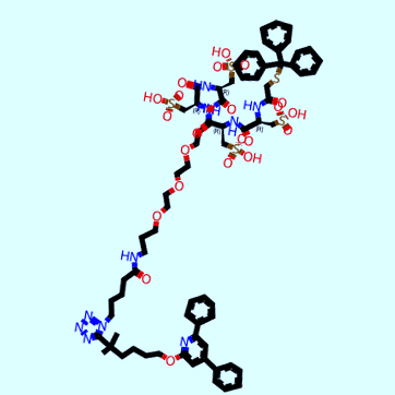 CC(C)(CCCCOc1cc(-c2ccccc2)cc(-c2ccccc2)n1)c1nnnn1CCCCC(=O)NCCCOCCOCCOCCCNC(=O)[C@H](CS(=O)(=O)O)NC(=O)[C@H](CS(=O)(=O)O)NC(=O)[C@H](CS(=O)(=O)O)NC(=O)[C@H](CS(=O)(=O)O)NC(=O)CSC(c1ccccc1)(c1ccccc1)c1ccccc1